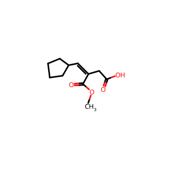 COC(=O)C(=CC1CCCC1)CC(=O)O